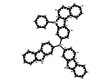 c1ccc(-n2c3cc(N(c4ccc5c(c4)oc4ccccc45)c4ccc5c(c4)sc4ccccc45)ccc3c3c4ccccc4ccc32)cc1